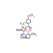 CNC(=O)/C(=N/OC)c1cccc(C)c1CO/N=C(\C)c1ccc(OC(F)(F)F)cc1C(F)(F)F